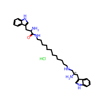 Cl.NC(Cc1c[nH]c2ccccc12)C(=O)NCCCCCCCCCCCCNC[C@H](N)Cc1c[nH]c2ccccc12